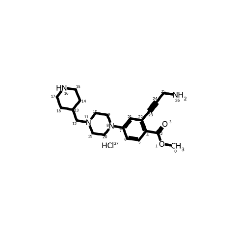 COC(=O)c1ccc(N2CCN(CC3CCNCC3)CC2)cc1C#CCN.Cl